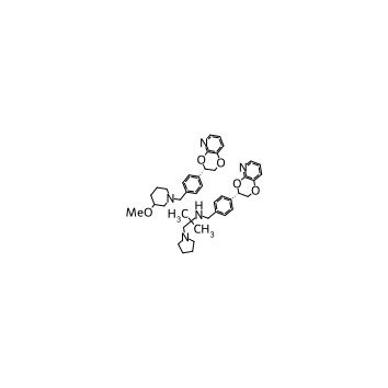 CC(C)(CN1CCCC1)NCc1ccc([C@H]2COc3cccnc3O2)cc1.COC1CCCN(Cc2ccc([C@H]3COc4cccnc4O3)cc2)C1